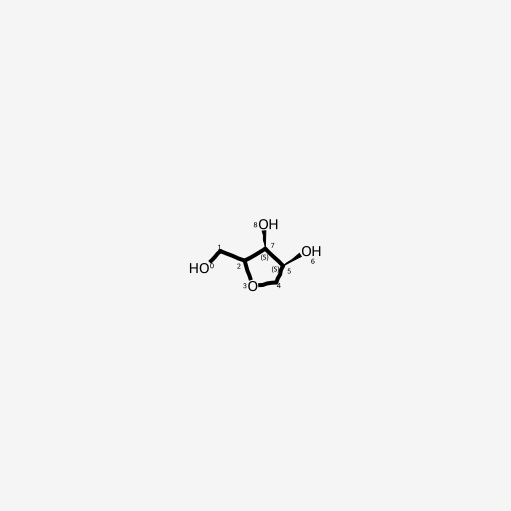 OCC1OC[C@H](O)[C@@H]1O